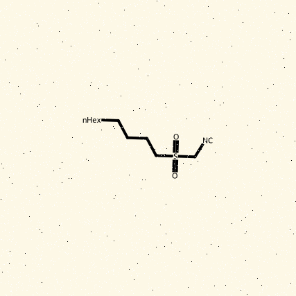 [C-]#[N+]CS(=O)(=O)CCCCCCCCCC